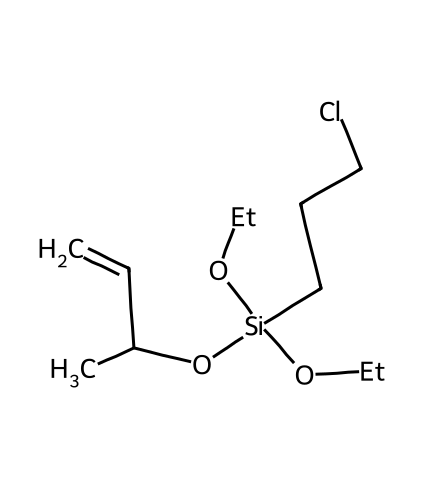 C=CC(C)O[Si](CCCCl)(OCC)OCC